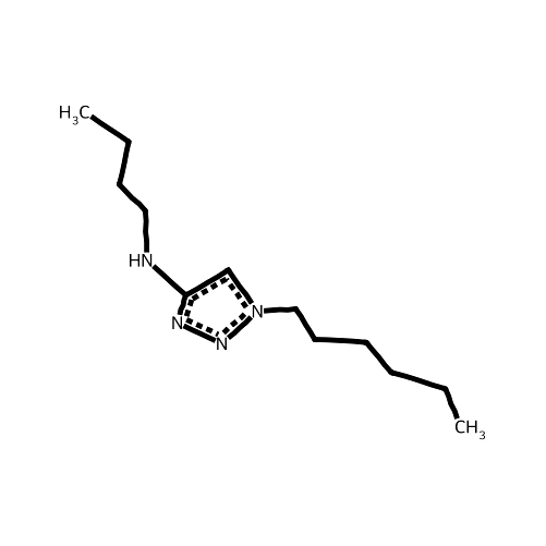 CCCCCCn1cc(NCCCC)nn1